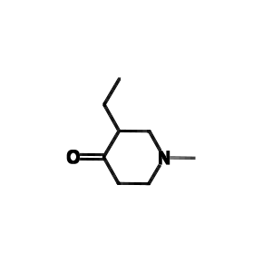 CCC1CN(C)CCC1=O